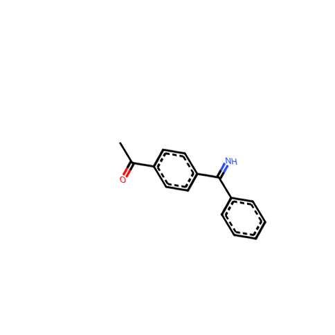 CC(=O)c1ccc(C(=N)c2ccccc2)cc1